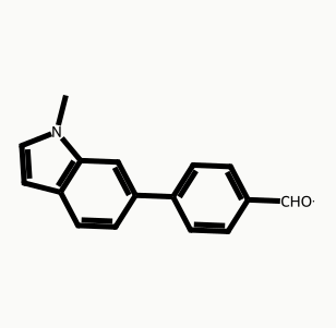 Cn1ccc2ccc(-c3ccc([C]=O)cc3)cc21